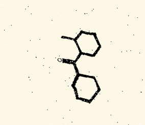 CC1CCCCC1C(=O)C1CCCCC1